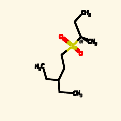 CCC(CC)CCS(=O)(=O)[C@H](C)CC